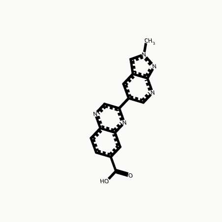 Cn1cc2cc(-c3cnc4ccc(C(=O)O)cc4n3)cnc2n1